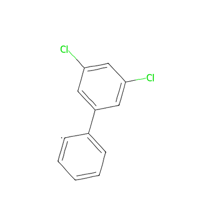 Clc1cc(Cl)cc(-c2[c]cccc2)c1